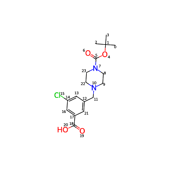 CC(C)(C)OC(=O)N1CCN(Cc2cc(Cl)cc(C(=O)O)c2)CC1